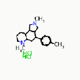 Cc1ccc(C2CC3C(CCCN3C)C3CN(C)CC23)cc1.Cl.Cl